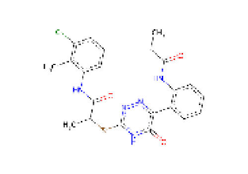 CCC(=O)Nc1ccccc1-c1nnc(SC(C)C(=O)Nc2cccc(Cl)c2C)[nH]c1=O